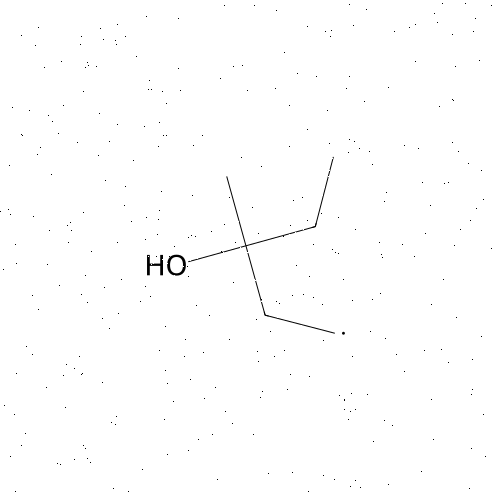 [CH2]CC(C)(O)CC